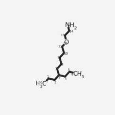 CCCC(CCC)CCCCCOCCN